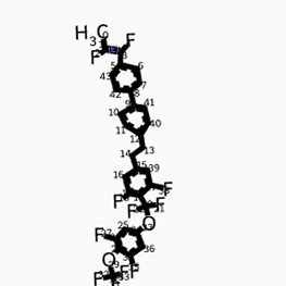 C/C(F)=C(\F)c1ccc(-c2ccc(CCc3cc(F)c(C(F)(F)Oc4cc(F)c(OC(F)(F)F)c(F)c4)c(F)c3)cc2)cc1